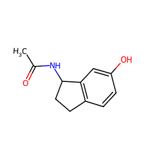 CC(=O)NC1CCc2ccc(O)cc21